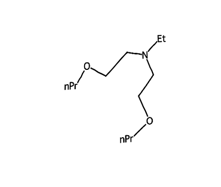 [CH2]CN(CCOCCC)CCOCCC